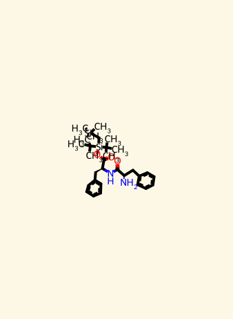 CC(C)(C)[Si](C[Si](C)(C)C)(OC(=O)[C@H](Cc1ccccc1)NC(=O)[C@@H](N)Cc1ccccc1)C(C)(C)C